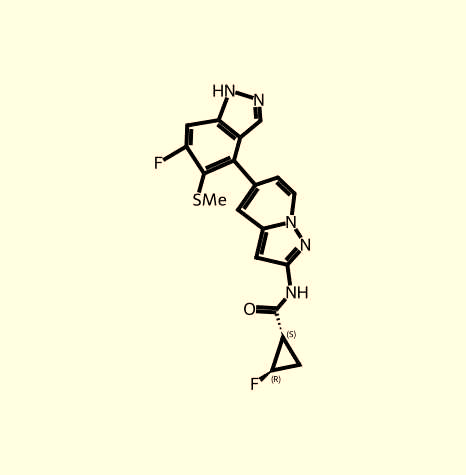 CSc1c(F)cc2[nH]ncc2c1-c1ccn2nc(NC(=O)[C@@H]3C[C@H]3F)cc2c1